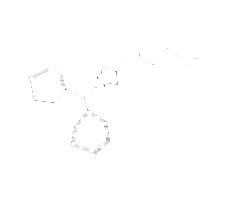 FC(F)(F)CCOC1CN(C(C2=CC=CCC2)c2ccccc2)C1